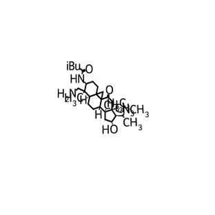 CCC(C)C(=O)N[C@H]1CCC23CC24C(=O)C[C@]2(C)[C@@H]([C@H](C)N(C)C)[C@H](O)C[C@@]2(C)[C@@H]4CC[C@H]3[C@]1(C)CN